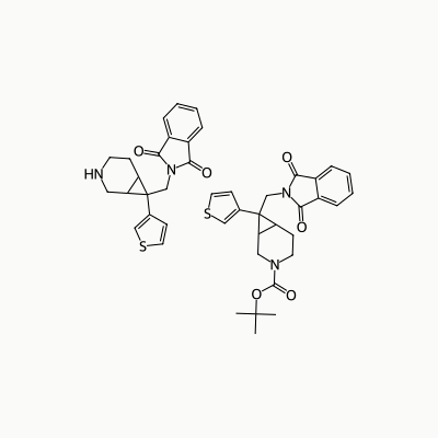 CC(C)(C)OC(=O)N1CCC2C(C1)C2(CN1C(=O)c2ccccc2C1=O)c1ccsc1.O=C1c2ccccc2C(=O)N1CC1(c2ccsc2)C2CCNCC21